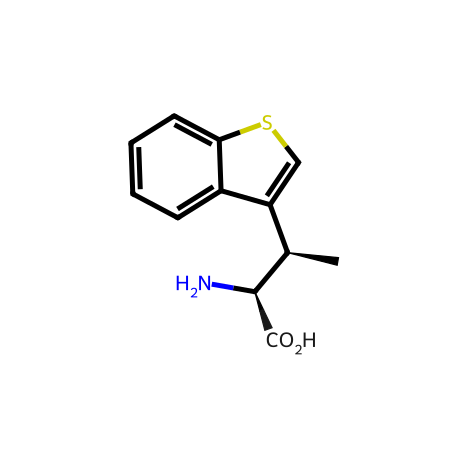 C[C@H](c1csc2ccccc12)[C@H](N)C(=O)O